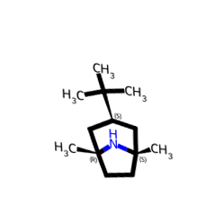 CC(C)(C)[C@H]1C[C@]2(C)CC[C@](C)(C1)N2